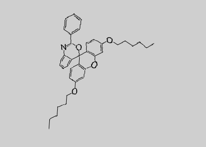 CCCCCCOc1ccc2c(c1)Oc1cc(OCCCCCC)ccc1C21OC(c2ccccc2)=Nc2ccccc21